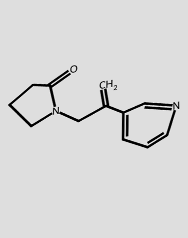 C=C(CN1CCCC1=O)c1cccnc1